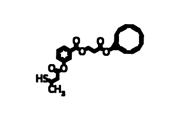 CC(S)CC(=O)Oc1cccc(C(=O)OCCC(=O)OC2C3=C/C=C\C=C/C=C\C=C/C=C\32)c1